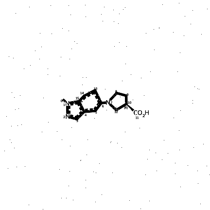 Cn1ncc2cc(N3CC[C@@H](C(=O)O)C3)ccc21